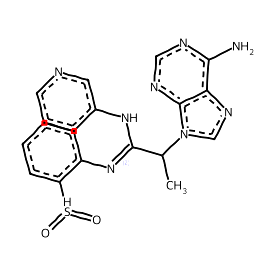 CC(/C(=N/c1ccccc1[SH](=O)=O)Nc1cccnc1)n1cnc2c(N)ncnc21